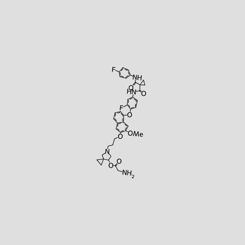 COc1cc2c(Oc3ccc(NC(=O)C4(C(=O)Nc5ccc(F)cc5)CC4)cc3F)cccc2cc1OCCCN1CC(OC(=O)CN)C2(CC2)C1